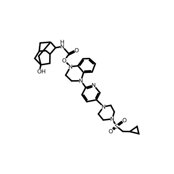 O=C(NC1C2CC3CC1CC(O)(C3)C2)ON1CCN(c2ccc(N3CCN(S(=O)(=O)CC4CC4)CC3)cn2)c2ccccc21